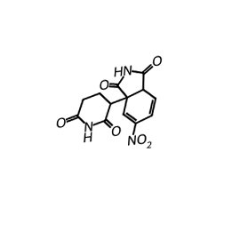 O=C1CCC(C23C=C([N+](=O)[O-])C=CC2C(=O)NC3=O)C(=O)N1